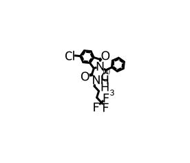 C[C@H](c1ccccc1)N1C(=O)c2ccc(Cl)cc2C1C(=O)NCCCC(F)(F)F